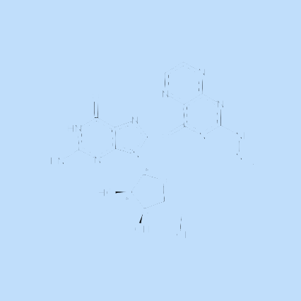 NNc1nc2nccnc2c(=O)[nH]1.Nc1nc2c(ncn2[C@@H]2O[C@H](CO)[C@@H](O)[C@H]2O)c(=O)[nH]1